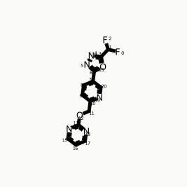 FC(F)c1nnc(-c2ccc(COc3ncccn3)nc2)o1